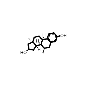 C[C@@H]1Cc2cc(O)ccc2[C@H]2CC[C@]3(C)C[C@H](O)C[C@H]3[C@H]12